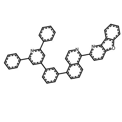 c1ccc(-c2cc(-c3cccc(-c4cccc5c(-c6ccc7oc8ccccc8c7n6)nccc45)c3)cc(-c3ccccc3)n2)cc1